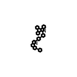 c1ccc(-c2ccc3ccc4ccc(-c5ccc(-c6cccc(-c7nc8ccccc8c8c9ccccc9c9ccccc9c78)c6)cc5)nc4c3c2)cc1